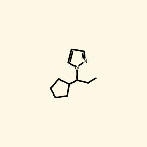 CCC(C1CCCC1)n1cccn1